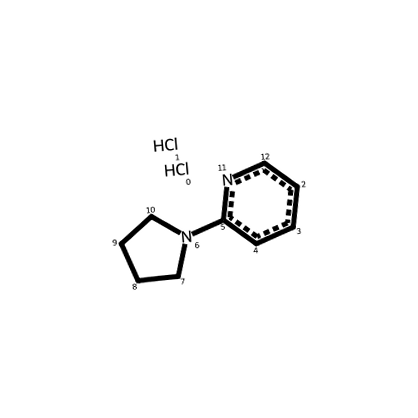 Cl.Cl.c1ccc(N2CCCC2)nc1